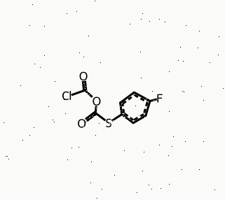 O=C(Cl)OC(=O)Sc1ccc(F)cc1